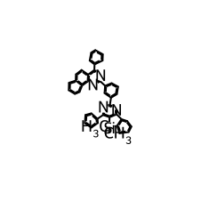 C[Si]1(C)c2ccccc2-c2nc(-c3cccc(-c4nc(-c5ccccc5)c5ccc6ccccc6c5n4)c3)nc(-c3ccccc3)c21